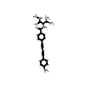 C[C@@H](N)[C@@H](NC(=O)c1ccc(C#CC#Cc2ccc(N)cc2)cc1)C(=O)NO